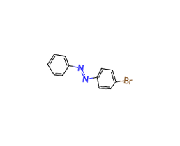 Brc1ccc(N=Nc2ccccc2)cc1